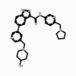 O=C(Nc1ccc(CN2CCCC2)nc1)c1n[nH]c2ccc(-c3cncc(CN4CCC(O)CC4)c3)cc12